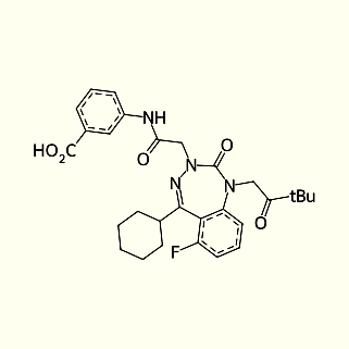 CC(C)(C)C(=O)CN1C(=O)N(CC(=O)Nc2cccc(C(=O)O)c2)N=C(C2CCCCC2)c2c(F)cccc21